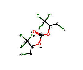 O=C(OC(CF)C(F)(F)F)OC(CF)C(F)(F)F